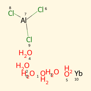 O.O.O.O.O.O.[Cl][Al]([Cl])[Cl].[Yb]